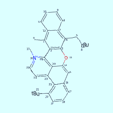 Cc1c2c(c(CC(C)(C)C)c3ccccc13)Oc1cc3cccc(C(C)(C)C)c3c3cc[n+](C)c-2c13